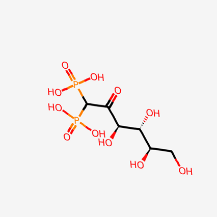 O=C(C(P(=O)(O)O)P(=O)(O)O)[C@H](O)[C@H](O)[C@H](O)CO